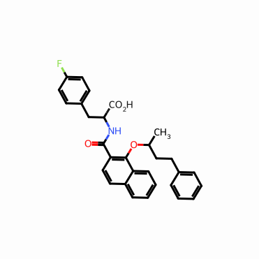 CC(CCc1ccccc1)Oc1c(C(=O)NC(Cc2ccc(F)cc2)C(=O)O)ccc2ccccc12